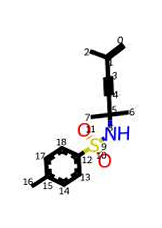 C=C(C)C#CC(C)(C)NS(=O)(=O)c1ccc(C)cc1